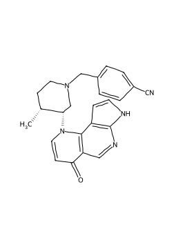 C[C@@H]1CCN(Cc2ccc(C#N)cc2)C[C@@H]1n1ccc(=O)c2cnc3[nH]ccc3c21